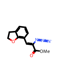 COC(=O)C(=Cc1cccc2c1OCC2)N=[N+]=[N-]